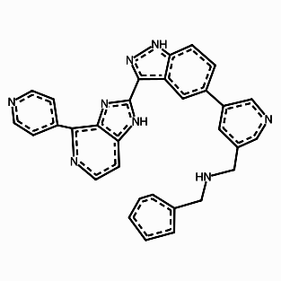 c1ccc(CNCc2cncc(-c3ccc4[nH]nc(-c5nc6c(-c7ccncc7)nccc6[nH]5)c4c3)c2)cc1